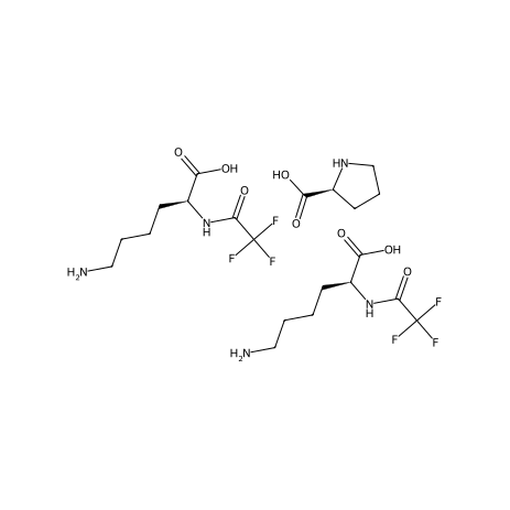 NCCCC[C@H](NC(=O)C(F)(F)F)C(=O)O.NCCCC[C@H](NC(=O)C(F)(F)F)C(=O)O.O=C(O)[C@@H]1CCCN1